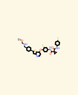 CCOCNCc1ccc(-c2cc3nccc(Oc4ccc(NC(=O)C5(C(=O)Nc6ccc(F)cc6)CC5)cc4F)c3s2)cc1